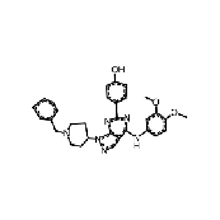 COc1ccc(Nc2nc(-c3ccc(O)cc3)nc3c2cnn3C2CCN(Cc3ccccc3)CC2)cc1OC